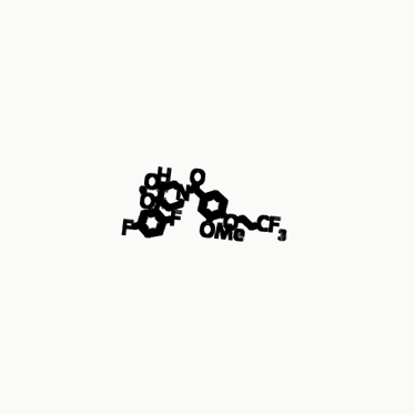 COc1cc(C(=O)N2CC[C@]3(c4cc(F)ccc4F)OCO[C@@H]3C2)ccc1OCCC(F)(F)F